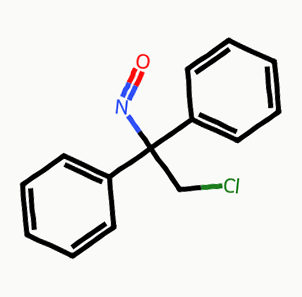 O=NC(CCl)(c1ccccc1)c1ccccc1